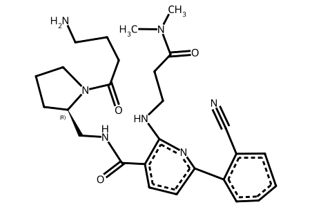 CN(C)C(=O)CCNc1nc(-c2ccccc2C#N)ccc1C(=O)NC[C@H]1CCCN1C(=O)CCCN